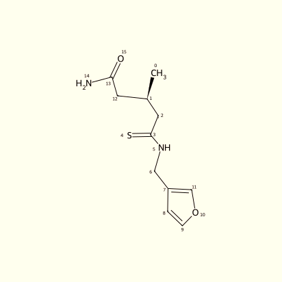 C[C@@H]([CH]C(=S)NCc1ccoc1)CC(N)=O